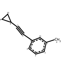 Cc1cccc(C#CC2CC2)c1